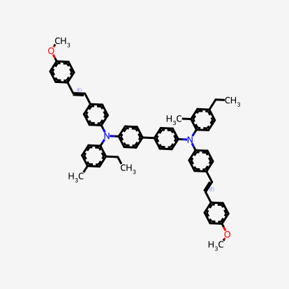 CCc1ccc(N(c2ccc(/C=C/c3ccc(OC)cc3)cc2)c2ccc(-c3ccc(N(c4ccc(/C=C/c5ccc(OC)cc5)cc4)c4ccc(C)cc4CC)cc3)cc2)c(C)c1